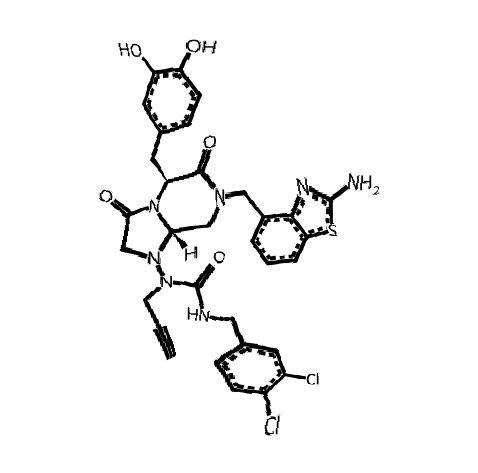 C#CCN(C(=O)NCc1ccc(Cl)c(Cl)c1)N1CC(=O)N2[C@@H](Cc3ccc(O)c(O)c3)C(=O)N(Cc3cccc4sc(N)nc34)C[C@@H]21